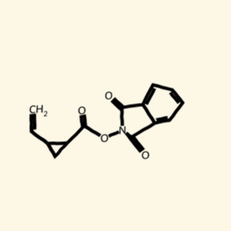 C=CC1CC1C(=O)ON1C(=O)c2ccccc2C1=O